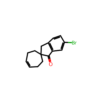 O=C1c2cc(Br)ccc2CC12CCC=CCC2